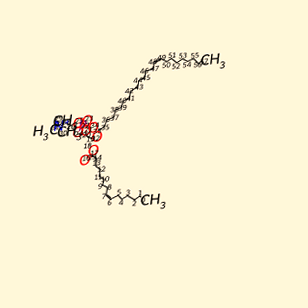 CCCCCC/C=C\CCCCCCCC(=O)OC[C@H](COP(=O)([O-])OCC[N+](C)(C)C)OC(=O)CCCCCCCCCCCCC/C=C\CCCCCCCC